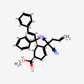 C=CCC(C#N)(C#N)C1=CC[C@@H](C(=O)OC)C[C@H]1C(I)(/C=C/c1ccccc1)c1ccccc1